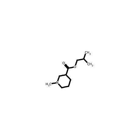 CC(C)COC(=O)C1CCCN(C)C1